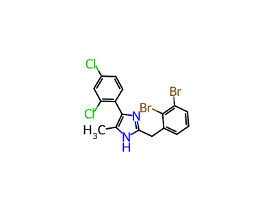 Cc1[nH]c(Cc2cccc(Br)c2Br)nc1-c1ccc(Cl)cc1Cl